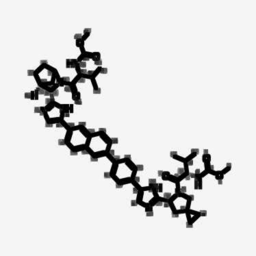 COC(=O)N[C@H](C(=O)N1CC2(CC2)C[C@H]1c1ncc(-c2ccc(-c3ccc4cc(-c5cnc([C@@H]6[C@H]7CCC(C7)N6C(=O)[C@@H](NC(=O)OC)C(C)C)[nH]5)ccc4c3)cc2)[nH]1)C(C)C